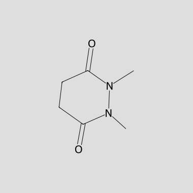 CN1C(=O)CCC(=O)N1C